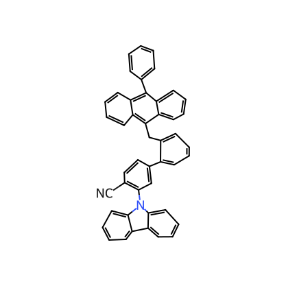 N#Cc1ccc(-c2ccccc2Cc2c3ccccc3c(-c3ccccc3)c3ccccc23)cc1-n1c2ccccc2c2ccccc21